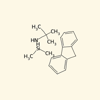 C[SiH](C)NC(C)(C)C.c1ccc2c(c1)Cc1ccccc1-2